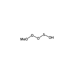 COOOSO